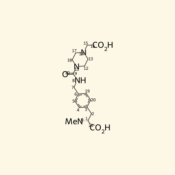 CN[C@H](Cc1ccc(CNC(=O)N2CCN(CC(=O)O)CC2)cc1)C(=O)O